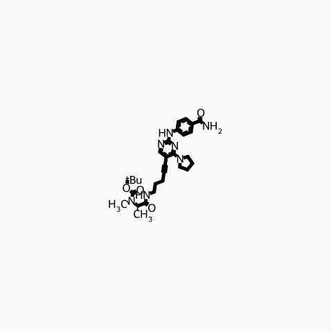 C[C@@H](C(=O)NCCCC#Cc1cnc(Nc2ccc(C(N)=O)cc2)nc1N1CCCC1)N(C)C(=O)OC(C)(C)C